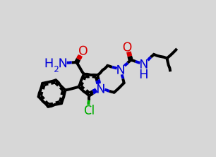 CC(C)CNC(=O)N1CCn2c(Cl)c(-c3ccccc3)c(C(N)=O)c2C1